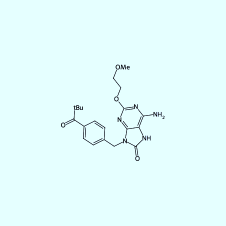 COCCOc1nc(N)c2[nH]c(=O)n(Cc3ccc(C(=O)C(C)(C)C)cc3)c2n1